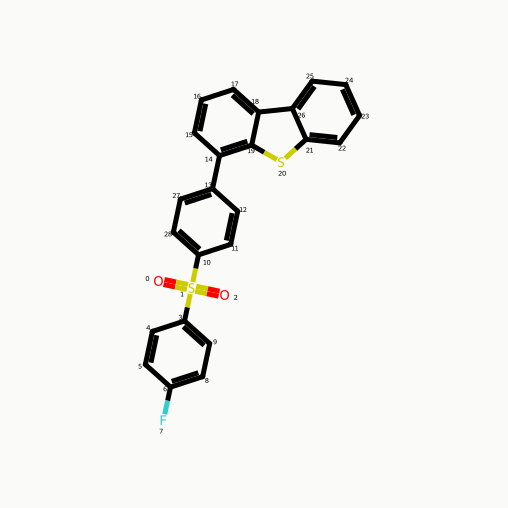 O=S(=O)(c1ccc(F)cc1)c1ccc(-c2cccc3c2sc2ccccc23)cc1